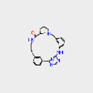 O=C1NCCCc2cccc(c2)-c2ncnc(n2)Nc2cccc(c2)CN2CCCC1C2